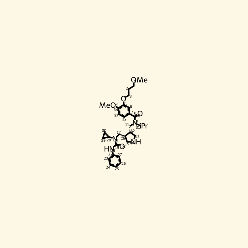 COCCCOc1cc(C(=O)N(C[C@@H]2CNC[C@H]2CN(C(=O)Nc2ccccc2)C2CC2)C(C)C)ccc1OC